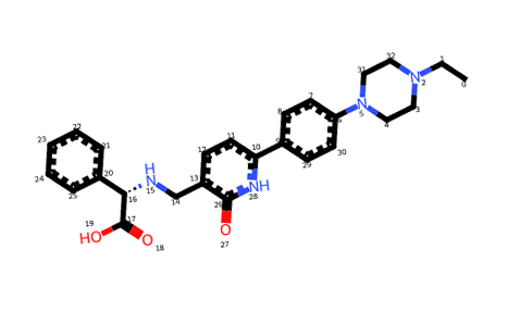 CCN1CCN(c2ccc(-c3ccc(CN[C@H](C(=O)O)c4ccccc4)c(=O)[nH]3)cc2)CC1